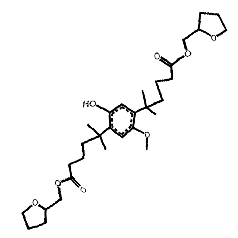 COc1cc(C(C)(C)CCCC(=O)OCC2CCCO2)c(O)cc1C(C)(C)CCCC(=O)OCC1CCCO1